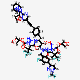 CC(C)([C@H](NC(=O)OC1COC1)C(=O)N[C@@H](Cc1ccc(C#Cc2cnc(N3CC4CCC(C3)N4CC3CCO3)nc2)cc1)[C@@H](O)CN(Cc1c(F)cc(-c2ccn(C(F)F)n2)cc1F)NC(=O)[C@@H](NC(=O)OC1COC1)C(C)(C)C(F)(F)F)C(F)(F)F